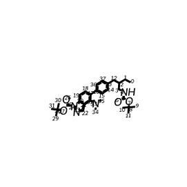 CCC(CNC(=O)OC(C)(C)C)Cc1ccc(-c2ccc3c(cnn3C(=O)OC(C)(C)C)c2N(C)C)cc1